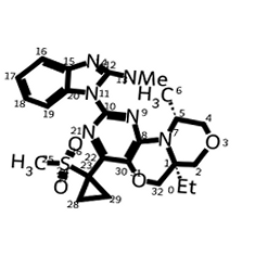 CC[C@@]12COC[C@@H](C)N1c1nc(-n3c(NC)nc4ccccc43)nc(C3(S(C)(=O)=O)CC3)c1OC2